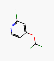 FC(F)Oc1ccnc(Br)c1